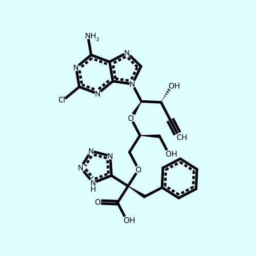 C#C[C@@H](O)[C@@H](O[C@@H](CO)CO[C@](Cc1ccccc1)(C(=O)O)c1nnn[nH]1)n1cnc2c(N)nc(Cl)nc21